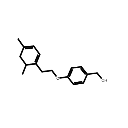 CC1=CC=C(CCOc2ccc(CO)cc2)C(C)C1